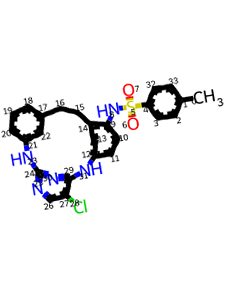 Cc1ccc(S(=O)(=O)Nc2ccc3cc2CCc2cccc(c2)Nc2ncc(Cl)c(n2)N3)cc1